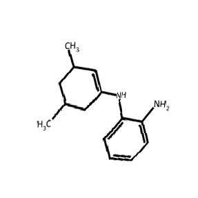 CC1C=C(Nc2ccccc2N)CC(C)C1